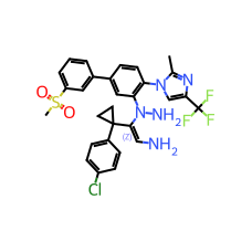 Cc1nc(C(F)(F)F)cn1-c1ccc(-c2cccc(S(C)(=O)=O)c2)cc1N(N)/C(=C\N)C1(c2ccc(Cl)cc2)CC1